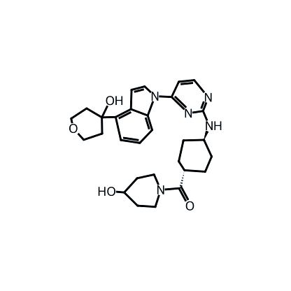 O=C([C@H]1CC[C@H](Nc2nccc(-n3ccc4c(C5(O)CCOCC5)cccc43)n2)CC1)N1CCC(O)CC1